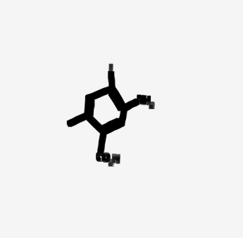 Cc1cc(I)c(N)cc1C(=O)O